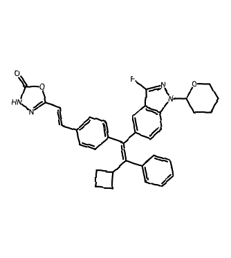 O=c1[nH]nc(C=Cc2ccc(C(=C(c3ccccc3)C3CCC3)c3ccc4c(c3)c(F)nn4C3CCCCO3)cc2)o1